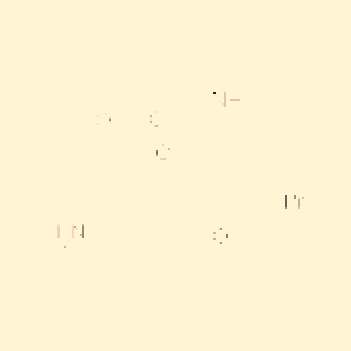 CC(C)OC(=O)CN.N=C=O